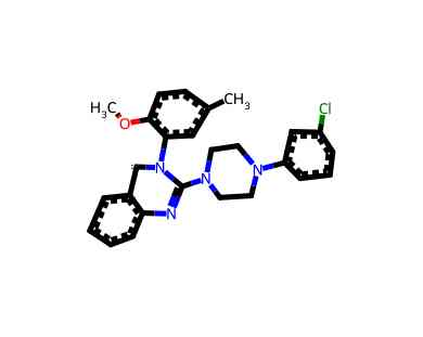 COc1ccc(C)cc1N1[C]c2ccccc2N=C1N1CCN(c2cccc(Cl)c2)CC1